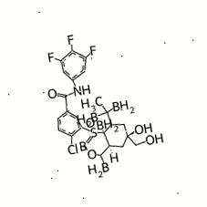 BC1OB=S(=O)(c2cc(C(=O)Nc3cc(F)c(F)c(F)c3)ccc2Cl)[C@@]2(B)C(C(B)(B)C)C[C@](O)(CO)C[C@@H]12